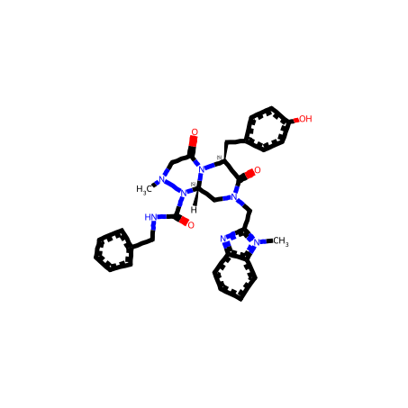 CN1CC(=O)N2[C@@H](Cc3ccc(O)cc3)C(=O)N(Cc3nc4ccccc4n3C)C[C@@H]2N1C(=O)NCc1ccccc1